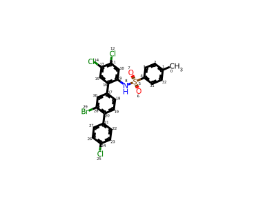 Cc1ccc(S(=O)(=O)Nc2cc(Cl)c(Cl)cc2-c2ccc(-c3ccc(Cl)cc3)c(Br)c2)cc1